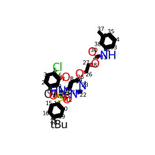 COc1ccc(Cl)c(Oc2c(NS(=O)(=O)c3ccc(C(C)(C)C)cc3)ncnc2OCCOC(=O)Nc2cccc(C)c2)c1